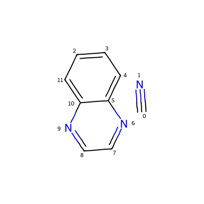 C#N.c1ccc2nccnc2c1